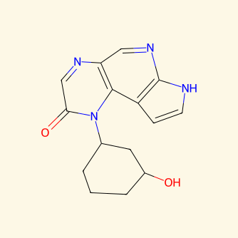 O=c1cnc2cnc3[nH]ccc3c2n1C1CCCC(O)C1